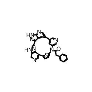 O=C(Cc1ccccc1)n1c2cncc(c2)c2cnc3[nH]nc(c4nc5c(cncc5c5ccc1s5)[nH]4)c3c2